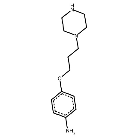 Nc1ccc(OCCCN2CCNCC2)cc1